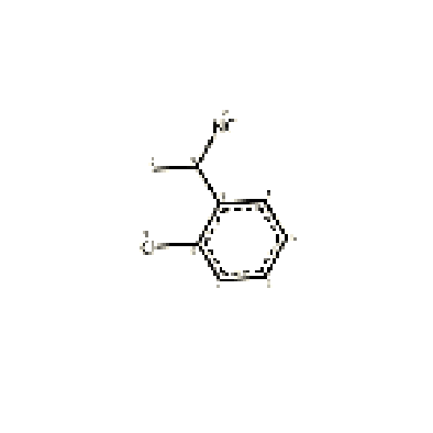 [C-]#[N+]C(C)c1ccccc1Cl